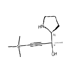 C[C@](O)(C#C[Si](C)(C)C)[C@@H]1CCCN1